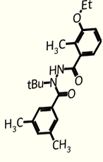 CCOc1cccc(C(=O)NN(C(=O)c2cc(C)cc(C)c2)C(C)(C)C)c1C